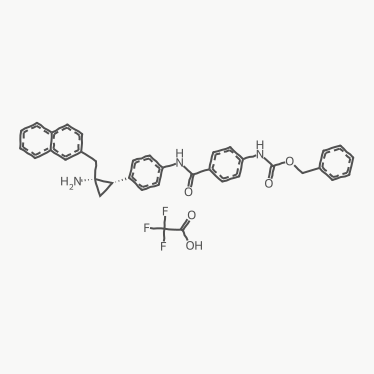 N[C@@]1(Cc2ccc3ccccc3c2)C[C@H]1c1ccc(NC(=O)c2ccc(NC(=O)OCc3ccccc3)cc2)cc1.O=C(O)C(F)(F)F